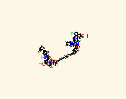 C#Cc1c(F)ccc2cc(O)cc(-c3ncc4c(N5CC6CCC(C5)N6)nc(OC5CCN(CCCCCCCCCCCCCC(=O)NC(C(=O)N6C[C@H](O)C[C@H]6C(=O)NCc6ccc(C7=C(C)C=CC7)cc6)C(C)(C)C)CC5)nc4c3F)c12